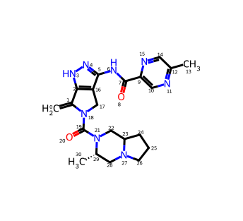 C=C1c2[nH]nc(NC(=O)c3cnc(C)cn3)c2CN1C(=O)N1CC2CCCN2C[C@@H]1C